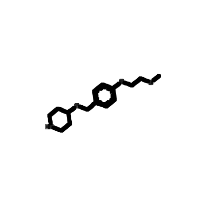 COCCOc1ccc(COC2CCNCC2)cc1